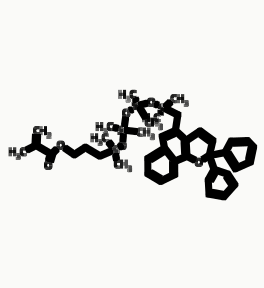 C=C(C)C(=O)OCCC[Si](C)(C)O[Si](C)(C)O[Si](C)(C)O[Si](C)(C)Cc1cc2ccccc2c2c1C=CC(c1ccccc1)(c1ccccc1)O2